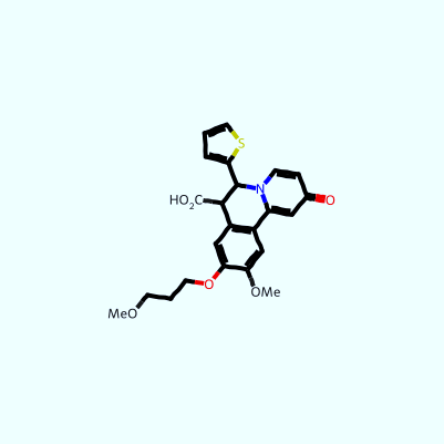 COCCCOc1cc2c(cc1OC)-c1cc(=O)ccn1C(c1cccs1)C2C(=O)O